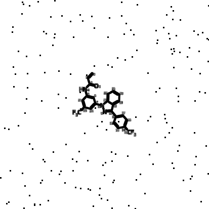 C=CC(=O)Nc1cc(-n2nc(-c3ccc(C(F)(F)F)cc3)c3ccccc32)cc(C(F)(F)F)c1